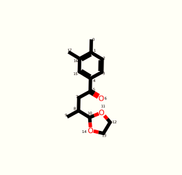 Cc1ccc(C(=O)CC(C)C2OCCO2)cc1C